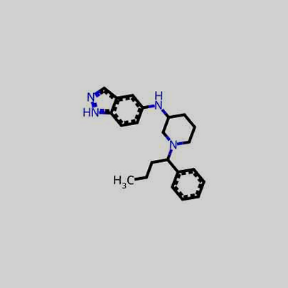 CCCC(c1ccccc1)N1CCCC(Nc2ccc3[nH]ncc3c2)C1